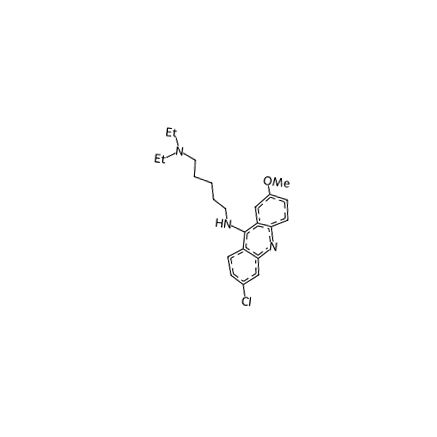 CCN(CC)CCCCCNc1c2ccc(Cl)cc2nc2ccc(OC)cc12